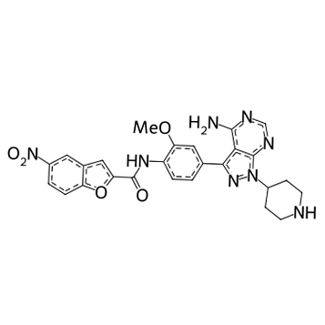 COc1cc(-c2nn(C3CCNCC3)c3ncnc(N)c23)ccc1NC(=O)c1cc2cc([N+](=O)[O-])ccc2o1